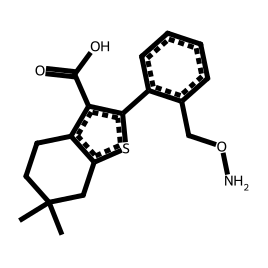 CC1(C)CCc2c(sc(-c3ccccc3CON)c2C(=O)O)C1